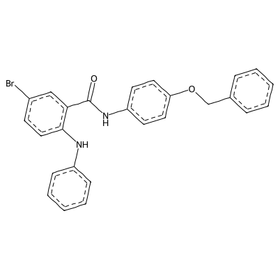 O=C(Nc1ccc(OCc2ccccc2)cc1)c1cc(Br)ccc1Nc1ccccc1